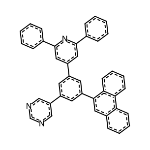 c1ccc(-c2cc(-c3cc(-c4cncnc4)cc(-c4cc5ccccc5c5ccccc45)c3)cc(-c3ccccc3)n2)cc1